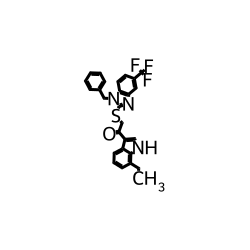 CCc1cccc2c(C(=O)CSc3nc4cc(C(F)(F)F)ccc4n3Cc3ccccc3)c[nH]c12